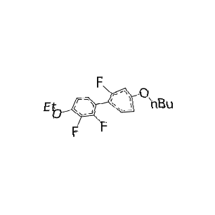 CCCCOc1ccc(-c2ccc(OCC)c(F)c2F)c(F)c1